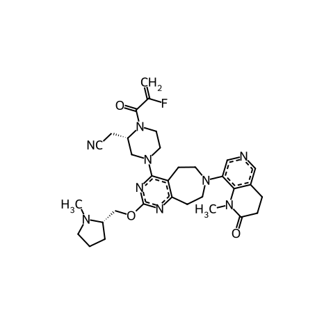 C=C(F)C(=O)N1CCN(c2nc(OC[C@@H]3CCCN3C)nc3c2CCN(c2cncc4c2N(C)C(=O)CC4)CC3)C[C@@H]1CC#N